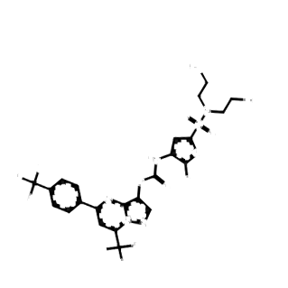 O=C(Nc1cc(S(=O)(=O)N(CCO)CCO)sc1Cl)Oc1cnn2c(C(F)(F)F)cc(-c3ccc(C(F)(F)F)cc3)nc12